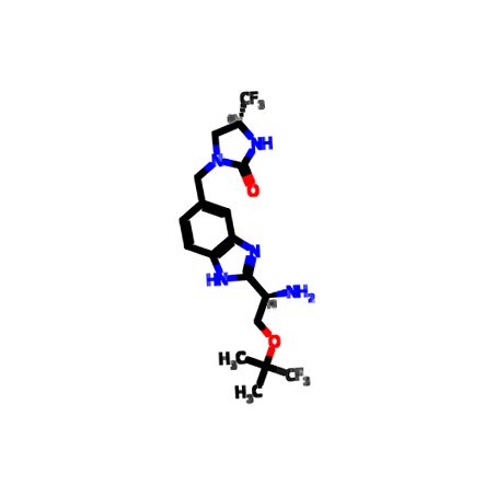 CC(C)(OC[C@H](N)c1nc2cc(CN3C[C@H](C(F)(F)F)NC3=O)ccc2[nH]1)C(F)(F)F